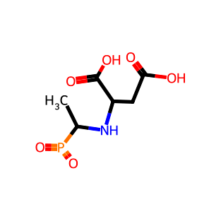 CC(NC(CC(=O)O)C(=O)O)P(=O)=O